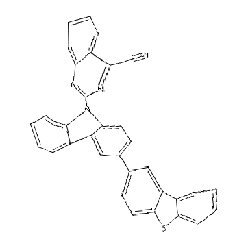 N#Cc1nc(-n2c3ccccc3c3cc(-c4ccc5sc6ccccc6c5c4)ccc32)nc2ccccc12